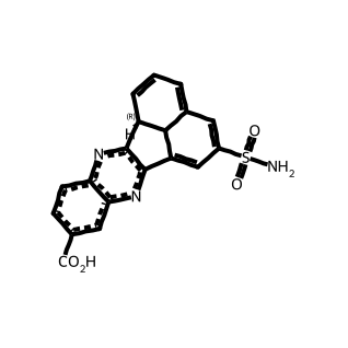 NS(=O)(=O)C1=CC2=CC=C[C@H]3c4nc5ccc(C(=O)O)cc5nc4C(=C1)C23